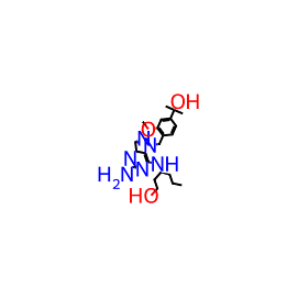 CCC[C@@H](CCO)Nc1nc(N)nc2cnn(Cc3ccc(C(C)(C)O)cc3OC)c12